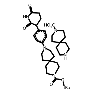 CC(C)(C)OC(=O)N1CCC2(CC1)CCN(c1ccc(C3CCC(=O)NC3=O)cc1)CC2.O=C(O)N1CCC2(CCNCC2)CC1